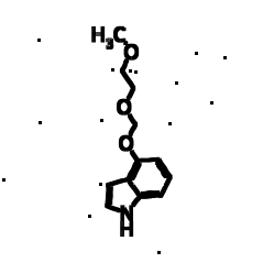 COCCOCOc1cccc2[nH]ccc12